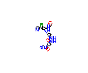 CN1CCN(C(=O)c2ccc(NC(=O)Nc3ccc(-c4nc(N5CCOCC5)c5cc(F)c(-c6cccnc6)cc5n4)cc3)cc2)CC1